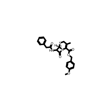 COc1ccc(COC(=O)C2=C(C)CS[C@H]3C(NC(=O)Cc4ccccc4)C(=O)N23)cc1